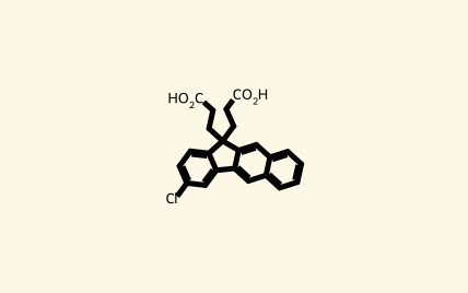 O=C(O)CCC1(CCC(=O)O)c2ccc(Cl)cc2-c2cc3ccccc3cc21